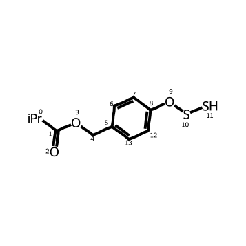 CC(C)C(=O)OCc1ccc(OSS)cc1